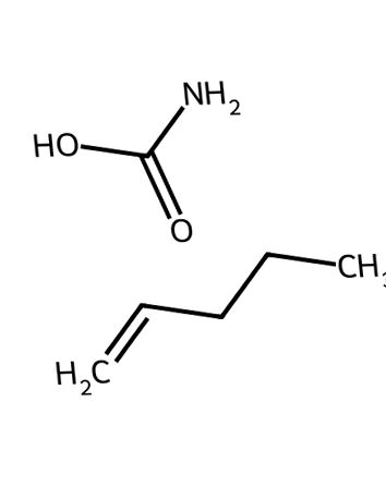 C=CCCC.NC(=O)O